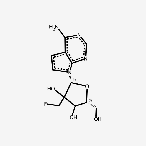 Nc1ncnc2c1ccn2[C@@H]1O[C@H](CO)C(O)C1(O)CF